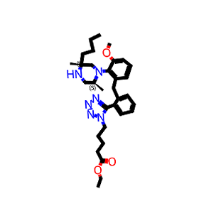 CCCC[C@]1(C)CN(c2c(Cc3ccccc3-c3nnnn3CCCCC(=O)OCC)cccc2OC)[C@@H](C)CN1